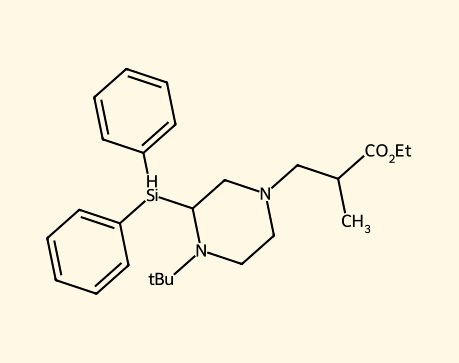 CCOC(=O)C(C)CN1CCN(C(C)(C)C)C([SiH](c2ccccc2)c2ccccc2)C1